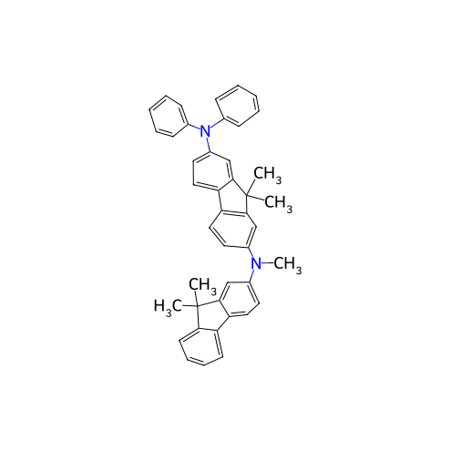 CN(c1ccc2c(c1)C(C)(C)c1ccccc1-2)c1ccc2c(c1)C(C)(C)c1cc(N(c3ccccc3)c3ccccc3)ccc1-2